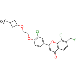 O=C(O)C1CC(OCCOc2ccc(-c3cc(=O)c4ccc(CF)c(Cl)c4o3)cc2Cl)C1